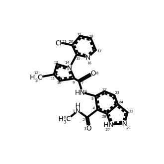 CNC(=O)c1c(NC(=O)c2cc(C)cn2-c2ncccc2Cl)ccc2cn[nH]c12